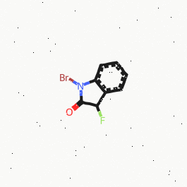 O=C1C(F)c2ccccc2N1Br